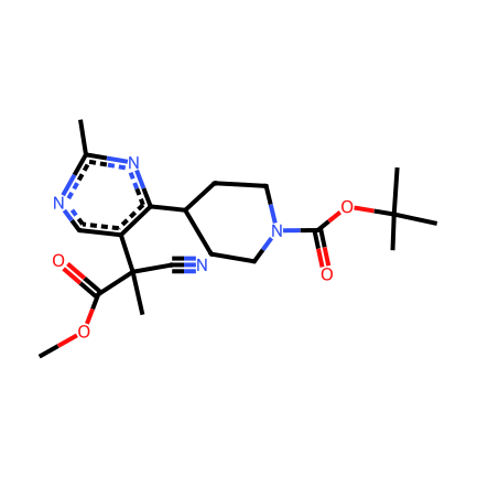 COC(=O)C(C)(C#N)c1cnc(C)nc1C1CCN(C(=O)OC(C)(C)C)CC1